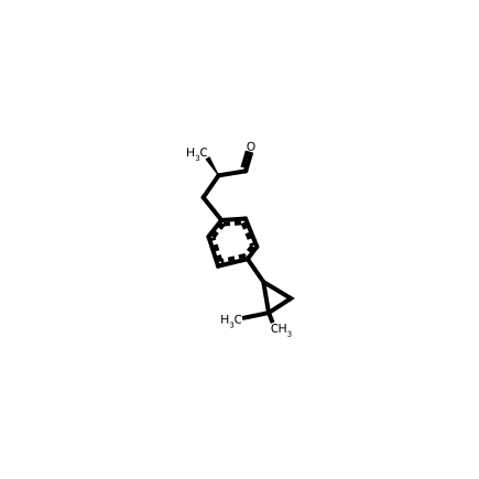 C[C@@H](C=O)Cc1ccc(C2CC2(C)C)cc1